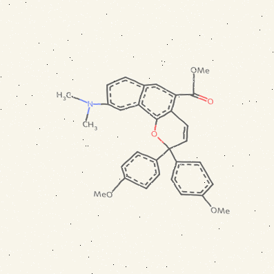 COC(=O)c1cc2ccc(N(C)C)cc2c2c1C=CC(c1ccc(OC)cc1)(c1ccc(OC)cc1)O2